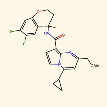 COCc1cc(C2CC2)n2ccc(C(=O)NC3(C)CCOc4cc(F)c(F)cc43)c2n1